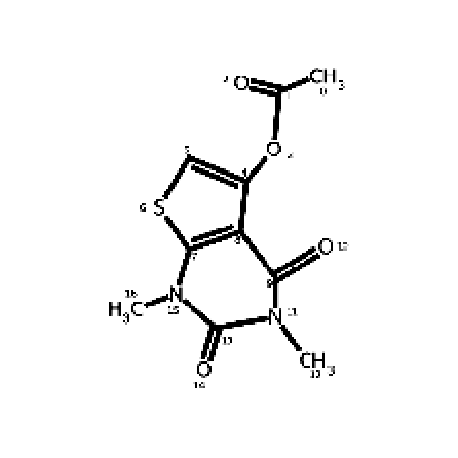 CC(=O)Oc1csc2c1c(=O)n(C)c(=O)n2C